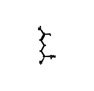 CC/C(C)=C/CC[C@@H](CC)OC(C)=O